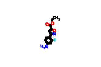 CCOC(=O)c1cc(-c2ccc(N)cc2F)no1